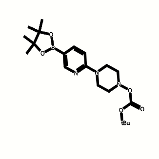 CC(C)(C)OC(=O)ON1CCN(c2ccc(B3OC(C)(C)C(C)(C)O3)cn2)CC1